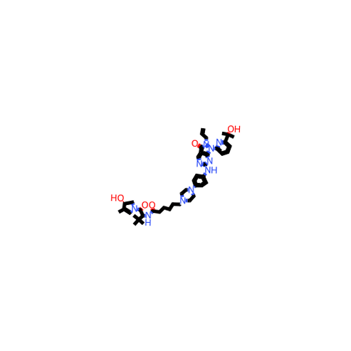 C=CCn1c(=O)c2cnc(Nc3ccc(N4CCN(CCCCCC(=O)NC(C(=O)N5C=C(C)[C@H](O)C5)C(C)(C)C)CC4)cc3)nc2n1-c1cccc(C(C)(C)O)n1